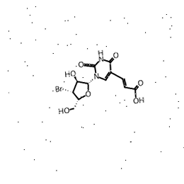 O=C(O)/C=C/c1cn([C@@H]2O[C@H](CO)[C@H](Br)[C@H]2O)c(=O)[nH]c1=O